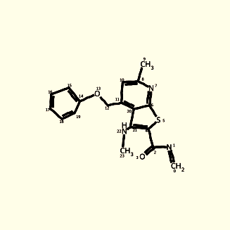 C=NC(=O)c1sc2nc(C)cc(COc3ccccc3)c2c1NC